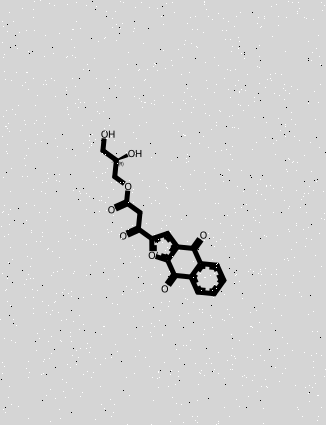 O=C(CC(=O)c1cc2c(o1)C(=O)c1ccccc1C2=O)OC[C@H](O)CO